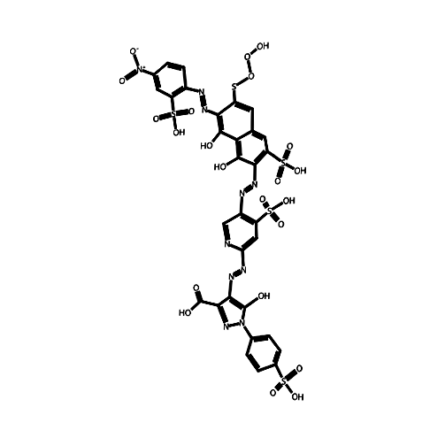 O=C(O)c1nn(-c2ccc(S(=O)(=O)O)cc2)c(O)c1N=Nc1cc(S(=O)(=O)O)c(N=Nc2c(S(=O)(=O)O)cc3cc(SOOO)c(N=Nc4ccc([N+](=O)[O-])cc4S(=O)(=O)O)c(O)c3c2O)cn1